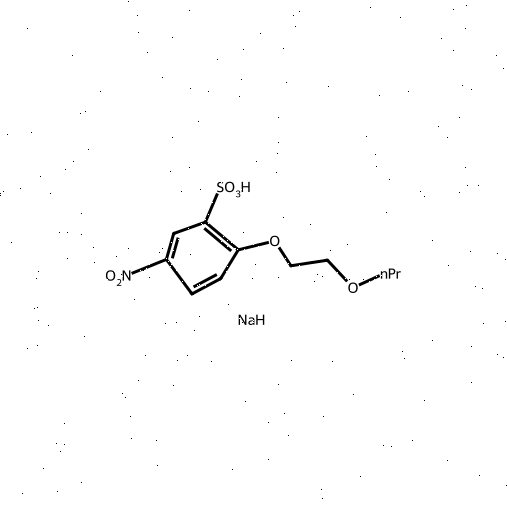 CCCOCCOc1ccc([N+](=O)[O-])cc1S(=O)(=O)O.[NaH]